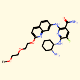 CCOCCOCCOc1ccc2ccc(Nc3nc(N[C@@H]4CCCC[C@@H]4N)c(F)cc3C(N)=O)cc2n1